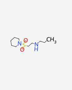 CCCNCCS(=O)(=O)N1CCCCC1